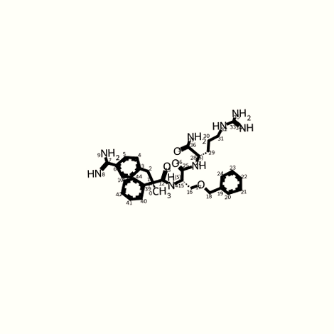 C[C@](Cc1ccc(C(=N)N)cc1)(C(=O)N[C@@H](COCc1ccccc1)C(=O)N[C@@H](CCCNC(=N)N)C(N)=O)c1ccccc1